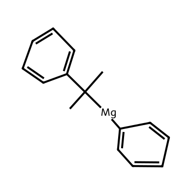 C[C](C)([Mg][c]1ccccc1)c1ccccc1